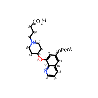 CCCCCc1cc(OC2CCN(CCCC(=O)O)CC2)c2ncccc2c1